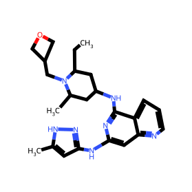 CCC1CC(Nc2nc(Nc3cc(C)[nH]n3)cc3ncccc23)CC(C)N1CC1COC1